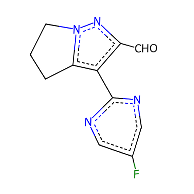 O=Cc1nn2c(c1-c1ncc(F)cn1)CCC2